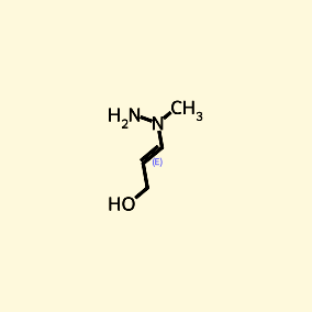 CN(N)/C=C/CO